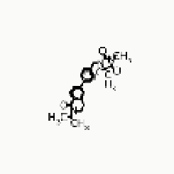 CC(C)N1CCc2cc(-c3ccc(CN4C(=O)N(C)C(=O)C4(C)C)cc3)ccc2C1=O